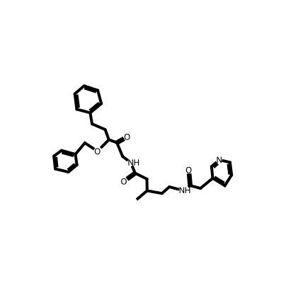 CC(CCNC(=O)Cc1cccnc1)CC(=O)NCC(=O)C(CCc1ccccc1)OCc1ccccc1